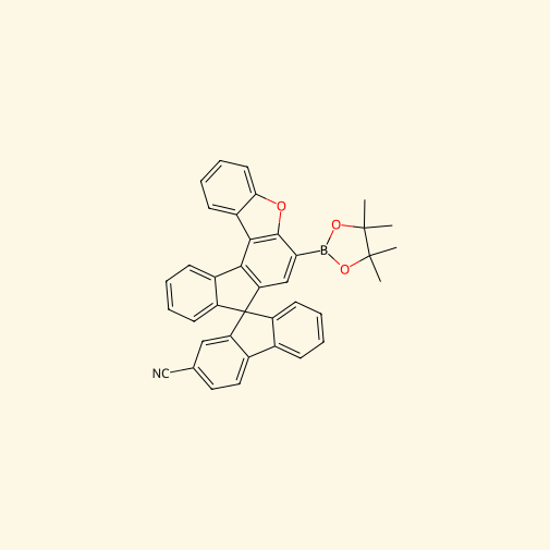 CC1(C)OB(c2cc3c(c4c2oc2ccccc24)-c2ccccc2C32c3ccccc3-c3ccc(C#N)cc32)OC1(C)C